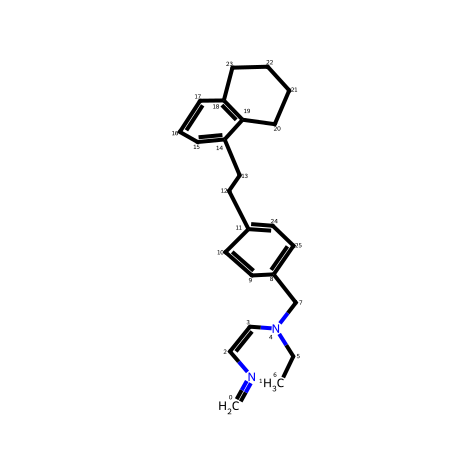 C=N/C=C\N(CC)Cc1ccc(CCc2cccc3c2CCCC3)cc1